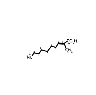 CC(=CCCCCCCC#N)C(=O)O